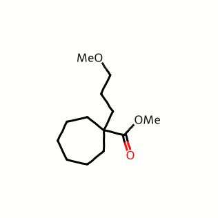 COCCCC1(C(=O)OC)CCCCCC1